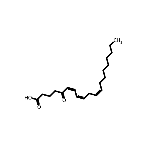 CCCCCCCC/C=C\C/C=C\C=C/C(=O)CCCC(=O)O